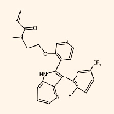 C=CC(=O)N(C)CCOc1cnccc1-c1[nH]c2cccnc2c1-c1cc(C(F)(F)F)ccc1F